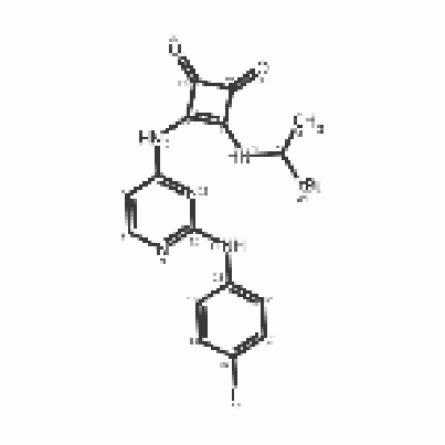 CC(Nc1c(Nc2ccnc(Nc3ccc(F)cc3)n2)c(=O)c1=O)C(C)(C)C